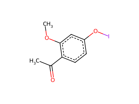 COc1cc(OI)ccc1C(C)=O